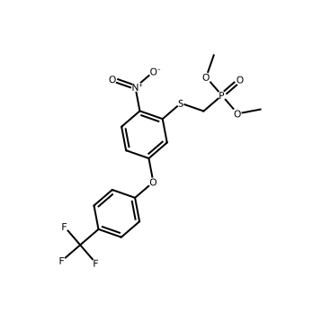 COP(=O)(CSc1cc(Oc2ccc(C(F)(F)F)cc2)ccc1[N+](=O)[O-])OC